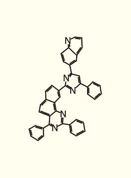 c1ccc(-c2cc(-c3ccc4ncccc4c3)nc(-c3ccc4ccc5c(-c6ccccc6)nc(-c6ccccc6)nc5c4c3)n2)cc1